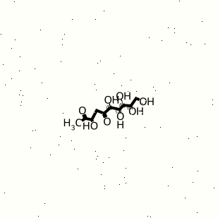 CC(=O)C(O)CC(=O)[C@H](O)[C@@H](O)[C@H](O)[C@H](O)CO